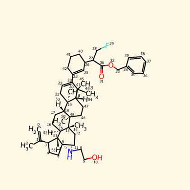 C=C(C)[C@@H]1CC[C@]2(NCCO)CC[C@]3(C)[C@H](CC[C@@H]4[C@@]5(C)CC=C(C6=CC(C(CF)C(=O)OCc7ccccc7)CCC6)C(C)(C)[C@@H]5CC[C@]43C)[C@@H]12